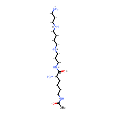 CC(C)(C)C(=O)NCCCC[C@H](N)C(=O)NCCCNCCCCNCCCN